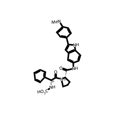 CNc1ccc(-c2cc3cc(NC(=O)[C@@H]4CCCN4C(=O)[C@H](NC(=O)O)c4ccccc4)ccc3[nH]2)cc1